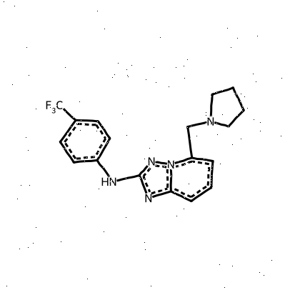 FC(F)(F)c1ccc(Nc2nc3cccc(CN4CCCC4)n3n2)cc1